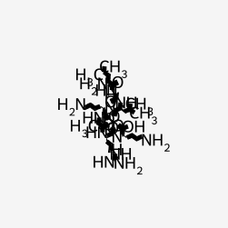 CC(C)C[C@H](NC(=O)CNC(=O)[C@@H](N)CC(C)C)C(=O)N[C@@H](CCCCN)C(=O)N[C@@H](C)C(=O)N[C@@H](CCCNC(=N)N)C(=O)N[C@@H](CCCCN)C(=O)O